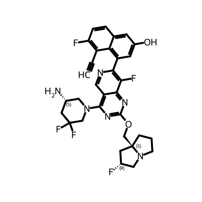 C#Cc1c(F)ccc2cc(O)cc(-c3ncc4c(N5C[C@@H](N)CC(F)(F)C5)nc(OC[C@@]56CCCN5C[C@H](F)C6)nc4c3F)c12